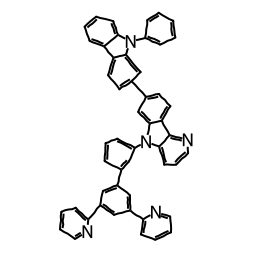 c1ccc(-n2c3ccccc3c3ccc(-c4ccc5c6ncccc6n(-c6cccc(-c7cc(-c8ccccn8)cc(-c8ccccn8)c7)c6)c5c4)cc32)cc1